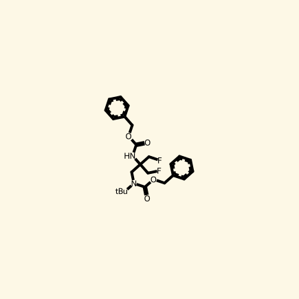 CC(C)(C)N(CC(CF)(CF)NC(=O)OCc1ccccc1)C(=O)OCc1ccccc1